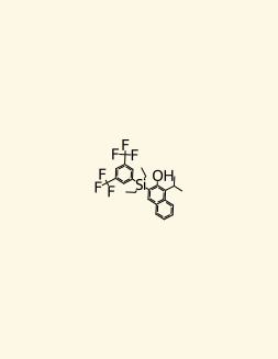 CC[Si](CC)(c1cc(C(F)(F)F)cc(C(F)(F)F)c1)c1cc2ccccc2c(C(C)C)c1O